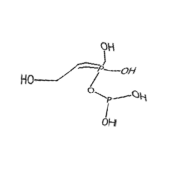 OCC=P(O)(O)OP(O)O